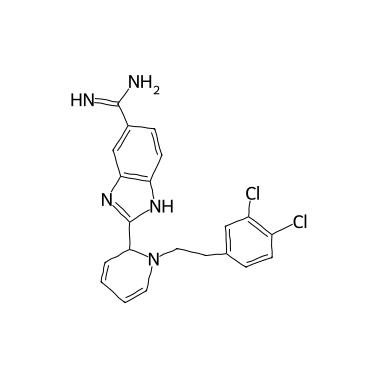 N=C(N)c1ccc2[nH]c(C3C=CC=CN3CCc3ccc(Cl)c(Cl)c3)nc2c1